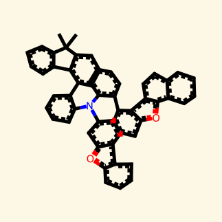 CC1(C)c2ccccc2-c2c(-c3ccccc3N(c3ccc4c(c3)oc3ccccc34)c3ccccc3-c3cccc4oc5c6ccccc6ccc5c34)cccc21